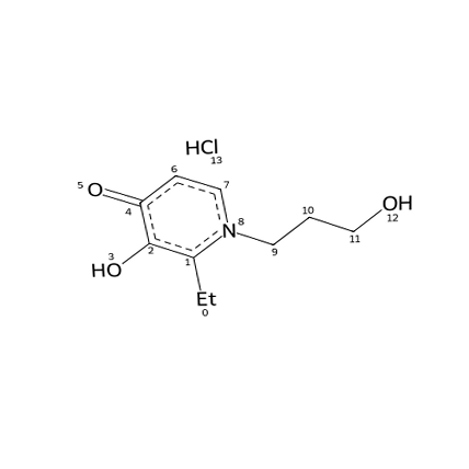 CCc1c(O)c(=O)ccn1CCCO.Cl